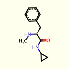 CN[C@@H](Cc1ccccc1)C(=O)NC1CC1